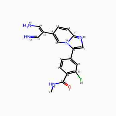 CNC(=O)c1ccc(-c2cnc3ccc(/C(C=N)=C/N)cn23)cc1F